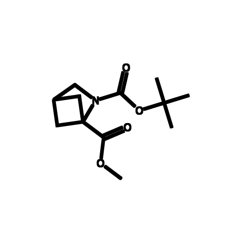 COC(=O)C12CC(CN1C(=O)OC(C)(C)C)C2